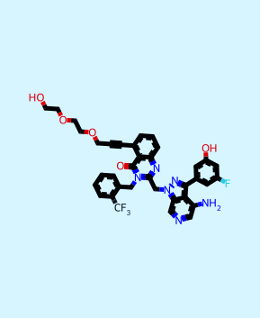 Nc1cncc2c1c(-c1cc(O)cc(F)c1)nn2Cc1nc2cccc(C#CCOCCOCCO)c2c(=O)n1Cc1ccccc1C(F)(F)F